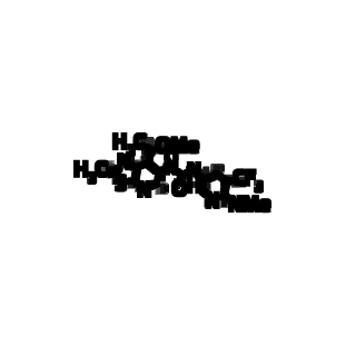 CNc1ncc(NC(=O)Nc2cnc3sc(C)nc3c2[C@H](C)OC)cc1C(F)(F)F